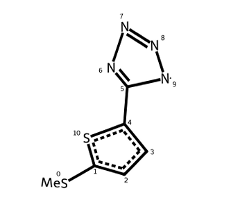 CSc1ccc(C2=NN=N[N]2)s1